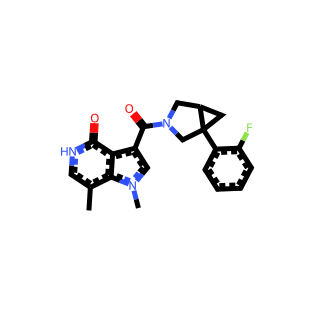 Cc1c[nH]c(=O)c2c(C(=O)N3CC4CC4(c4ccccc4F)C3)cn(C)c12